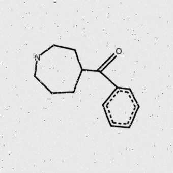 O=C(c1ccccc1)C1CCC[N]CC1